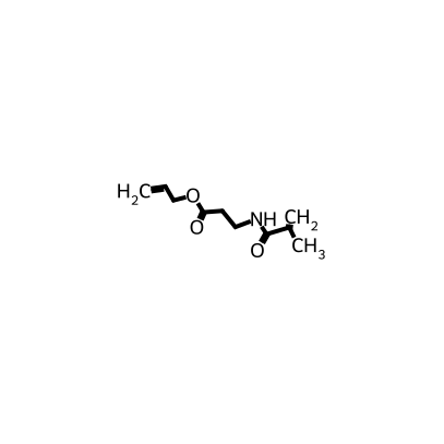 C=CCOC(=O)CCNC(=O)C(=C)C